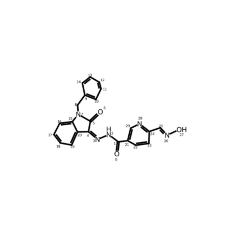 O=C(N/N=C1\C(=O)N(Cc2ccccc2)c2ccccc21)c1ccc(/C=N/O)nc1